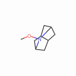 CON1C2CC3CC1CC3C2